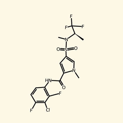 C[C@@H](N(C)S(=O)(=O)c1cc(C(=O)Nc2ccc(F)c(Cl)c2F)n(C)c1)C(F)(F)F